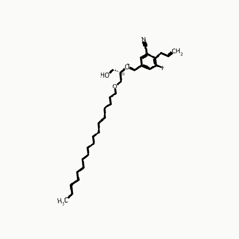 C=CCc1c(F)cc(CO[C@@H](CO)COCCCCCCCCCCCCCCCCCC)cc1C#N